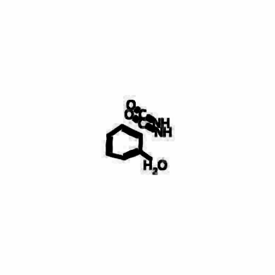 Cc1ccccc1.N=C=O.N=C=O.O